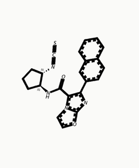 O=C(N[C@H]1CCC[C@@H]1N=C=S)c1c(-c2ccc3ccccc3c2)nc2occn12